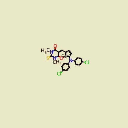 CN1C(=O)C(=Cc2ccc(N(c3ccc(Cl)cc3)c3ccc(Cl)cc3)[se]2)C(=O)N(C)C1=S